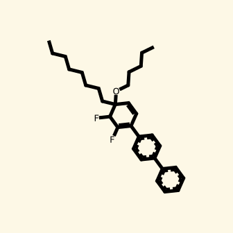 CCCCCCCCC1(OCCCCC)C=CC(c2ccc(-c3ccccc3)cc2)=C(F)C1F